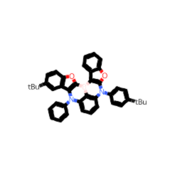 CC(C)(C)c1ccc(N2c3cccc4c3B(c3oc5ccc(C(C)(C)C)cc5c3N4c3ccccc3)c3c2oc2ccccc32)cc1